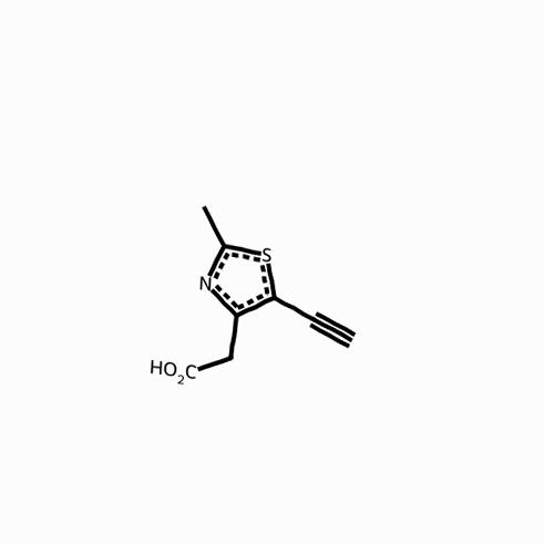 C#Cc1sc(C)nc1CC(=O)O